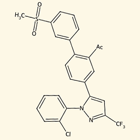 CC(=O)c1cc(-c2cc(C(F)(F)F)nn2-c2ccccc2Cl)ccc1-c1cccc(S(C)(=O)=O)c1